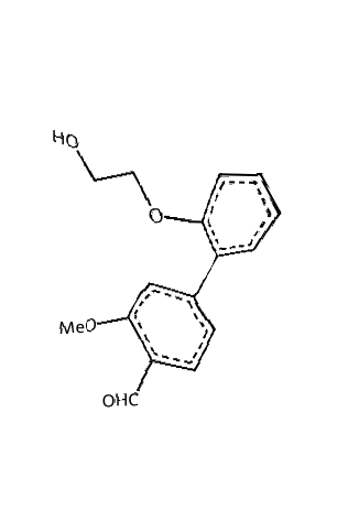 COc1cc(-c2ccccc2OCCO)ccc1C=O